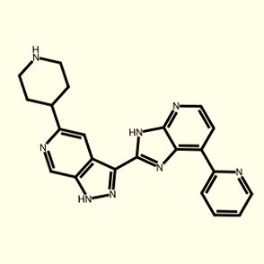 c1ccc(-c2ccnc3[nH]c(-c4n[nH]c5cnc(C6CCNCC6)cc45)nc23)nc1